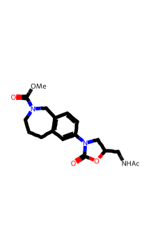 COC(=O)N1CCCc2cc(N3CC(CNC(C)=O)OC3=O)ccc2C1